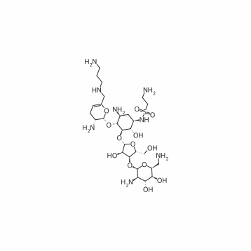 NCCCNCC1=CC[C@@H](N)[C@@H](O[C@H]2[C@H](O[C@@H]3O[C@H](CO)[C@@H](O[C@H]4O[C@@H](CN)[C@@H](O)[C@H](O)[C@H]4N)[C@H]3O)[C@@H](O)[C@H](NS(=O)(=O)CCN)C[C@@H]2N)O1